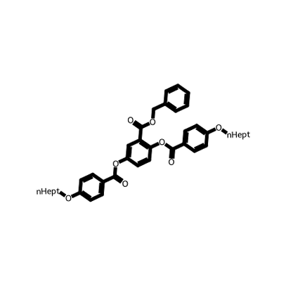 CCCCCCCOc1ccc(C(=O)Oc2ccc(OC(=O)c3ccc(OCCCCCCC)cc3)c(C(=O)OCc3ccccc3)c2)cc1